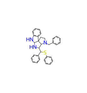 c1ccc(CN2CCC34c5ccccc5NC3NC([C@@H](Sc3ccccc3)c3ccccc3)C24)cc1